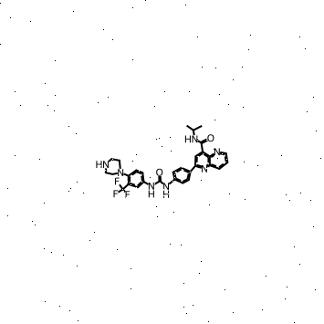 CC(C)NC(=O)c1cc(-c2ccc(NC(=O)Nc3ccc(N4CCNCC4)c(C(F)(F)F)c3)cc2)nc2cccnc12